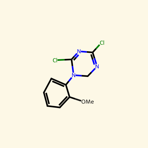 COc1ccccc1N1CN=C(Cl)N=C1Cl